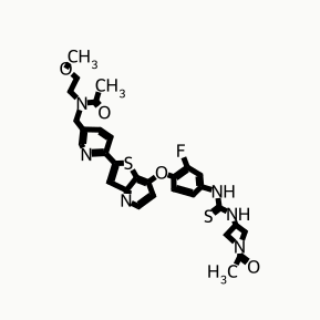 COCCN(Cc1ccc(-c2cc3nccc(Oc4ccc(NC(=S)NC5CN(C(C)=O)C5)cc4F)c3s2)nc1)C(C)=O